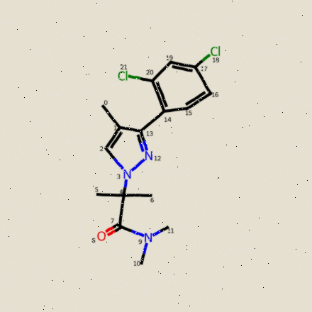 Cc1cn(C(C)(C)C(=O)N(C)C)nc1-c1ccc(Cl)cc1Cl